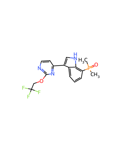 CP(C)(=O)c1cccc2c(-c3ccnc(OCC(F)(F)F)n3)c[nH]c12